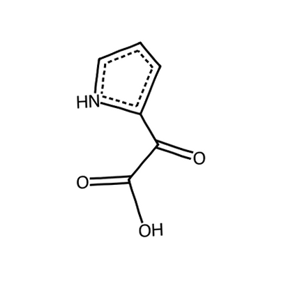 O=C(O)C(=O)c1ccc[nH]1